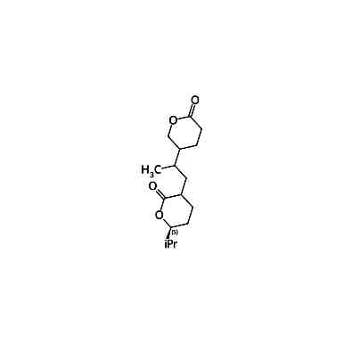 CC(CC1CC[C@@H](C(C)C)OC1=O)C1CCC(=O)OC1